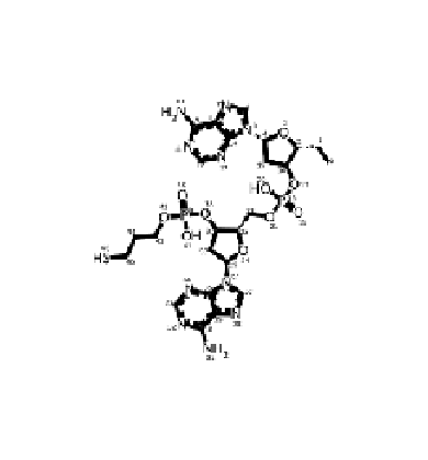 CC[C@H]1O[C@@H](n2cnc3c(N)ncnc32)CC1OP(=O)(O)OC[C@H]1O[C@@H](n2cnc3c(N)ncnc32)CC1OP(=O)(O)OCCCS